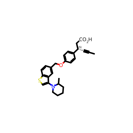 CC#C[C@@H](CC(=O)O)c1ccc(OCc2ccc3scc(N4CCCCC4C)c3c2)cc1